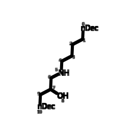 CCCCCCCCCCCCCCNCC(O)CCCCCCCCCCC